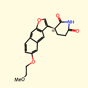 COCCOc1ccc2cc3occ([C@@H]4CCC(=O)NC4=O)c3cc2c1